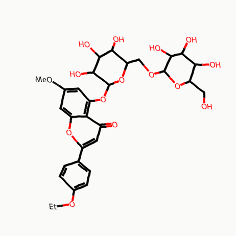 CCOc1ccc(-c2cc(=O)c3c(OC4OC(COC5OC(CO)C(O)C(O)C5O)C(O)C(O)C4O)cc(OC)cc3o2)cc1